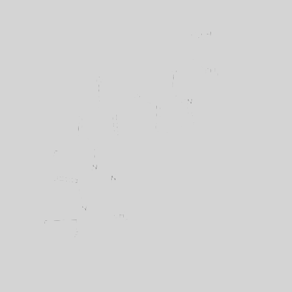 Cc1nn(-c2cc(Oc3cccnc3OC(C)C(=O)O)c(Cl)cc2F)c(=O)n1C(F)F